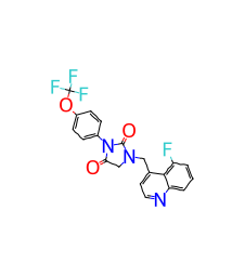 O=C1CN(Cc2ccnc3cccc(F)c23)C(=O)N1c1ccc(OC(F)(F)F)cc1